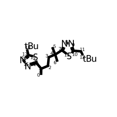 CC(CCC(C)(C)c1nnc(CC(C)(C)C)s1)c1nnc(C(C)(C)C)s1